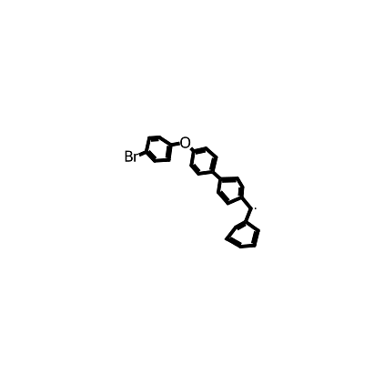 Brc1ccc(Oc2ccc(-c3ccc([CH]c4ccccc4)cc3)cc2)cc1